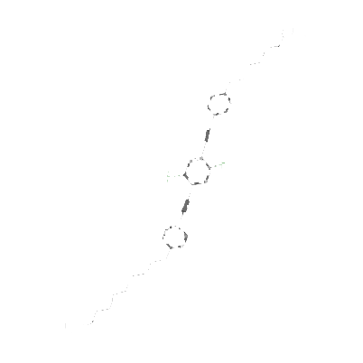 CCCCCCCCCCc1ccc(C#Cc2cc(F)c(C#Cc3ccc(CCCCCCC)cc3)cc2F)cc1